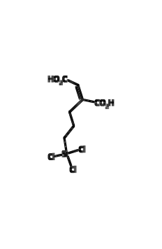 O=C(O)C=C(CCC[Si](Cl)(Cl)Cl)C(=O)O